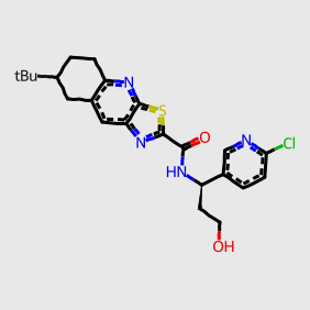 CC(C)(C)C1CCc2nc3sc(C(=O)N[C@H](CCO)c4ccc(Cl)nc4)nc3cc2C1